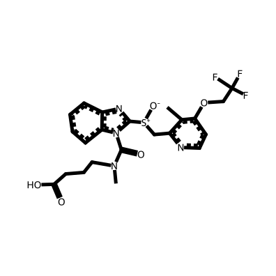 Cc1c(OCC(F)(F)F)ccnc1C[S+]([O-])c1nc2ccccc2n1C(=O)N(C)CCCC(=O)O